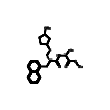 CCCC[C@H](NC(=O)[C@@H](CSC1CCC(OC(C)=O)C1)Cc1cccc2ccccc12)C(=O)OC(C)(C)C